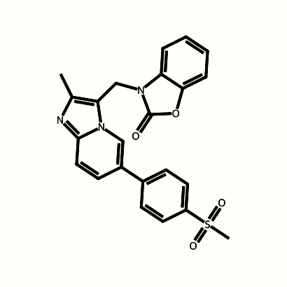 Cc1nc2ccc(-c3ccc(S(C)(=O)=O)cc3)cn2c1Cn1c(=O)oc2ccccc21